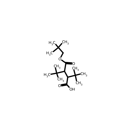 CC(C)(C)COC(=O)C(C(C(=O)O)C(C)(C)C)C(C)(C)C